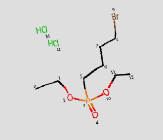 CCOP(=O)(CCCCBr)OCC.Cl.Cl